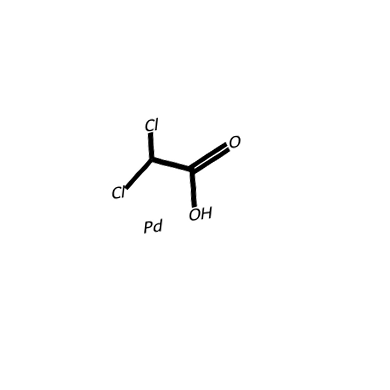 O=C(O)C(Cl)Cl.[Pd]